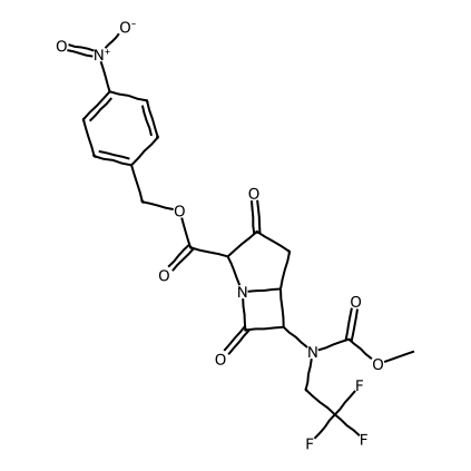 COC(=O)N(CC(F)(F)F)C1C(=O)N2C(C(=O)OCc3ccc([N+](=O)[O-])cc3)C(=O)CC12